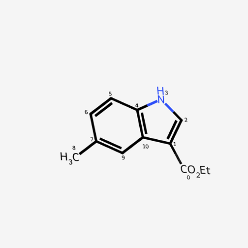 CCOC(=O)c1c[nH]c2ccc(C)cc12